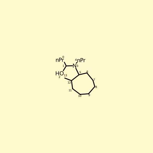 CCCC(O)N(CCC)C1CCCCCCC1C